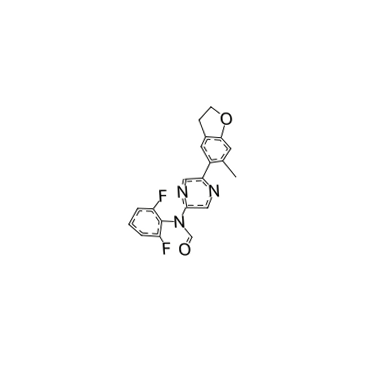 Cc1cc2c(cc1-c1cnc(N(C=O)c3c(F)cccc3F)cn1)CCO2